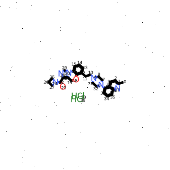 Cc1ccc2c(N3CCN(CCc4cccc5c4OCc4c(C(=O)N6CCC6)ncn4-5)CC3)cccc2n1.Cl.Cl